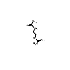 N=C(N)N[CH]CNC(=N)N